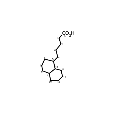 O=C(O)CCCCC1CCCC2CCCCC12